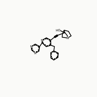 OC1(C#Cc2cnc(-c3cncnc3)cc2Cc2ccccc2)CN2CCC1CC2